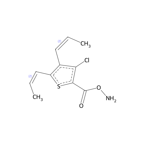 C/C=C\c1sc(C(=O)ON)c(Cl)c1/C=C\C